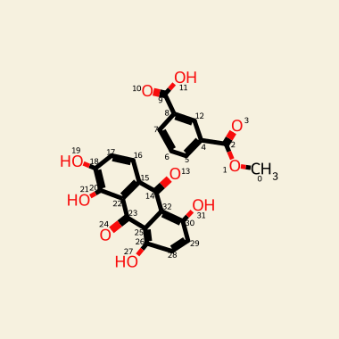 COC(=O)c1cccc(C(=O)O)c1.O=C1c2ccc(O)c(O)c2C(=O)c2c(O)ccc(O)c21